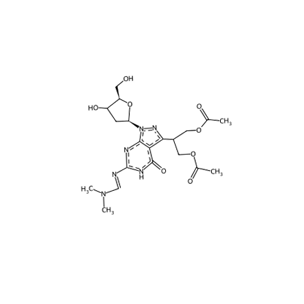 CC(=O)OCC(COC(C)=O)c1nn([C@H]2CC(O)[C@@H](CO)O2)c2nc(/N=C/N(C)C)[nH]c(=O)c12